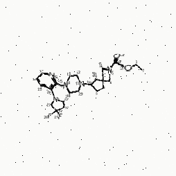 CCOC(=O)N1CC2(CCC(N3CCN(c4ncccc4N4CCC(F)(F)C4)CC3)C2)C1